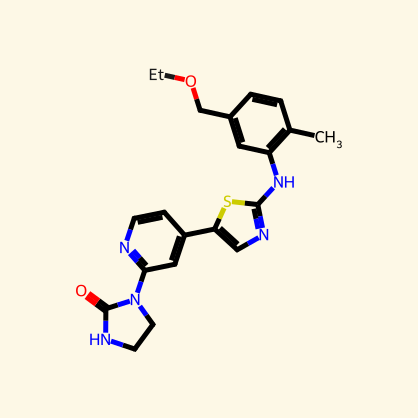 CCOCc1ccc(C)c(Nc2ncc(-c3ccnc(N4CCNC4=O)c3)s2)c1